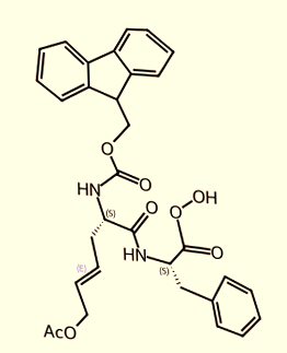 CC(=O)OC/C=C/C[C@H](NC(=O)OCC1c2ccccc2-c2ccccc21)C(=O)N[C@@H](Cc1ccccc1)C(=O)OO